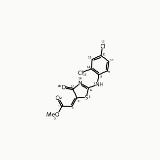 COC(=O)C=C1SC(Nc2ccc(Cl)cc2Cl)=NC1=O